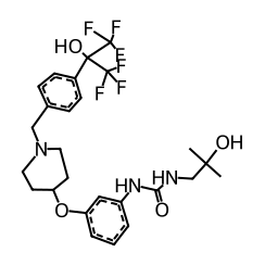 CC(C)(O)CNC(=O)Nc1cccc(OC2CCN(Cc3ccc(C(O)(C(F)(F)F)C(F)(F)F)cc3)CC2)c1